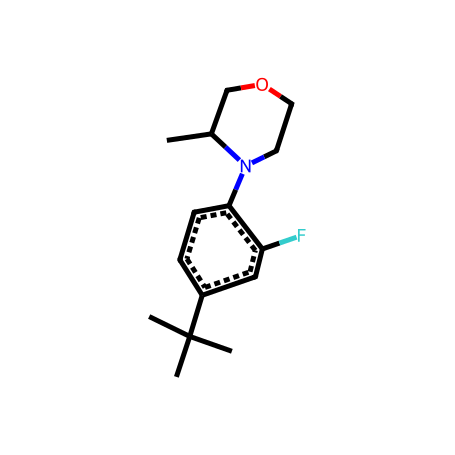 CC1COCCN1c1ccc(C(C)(C)C)cc1F